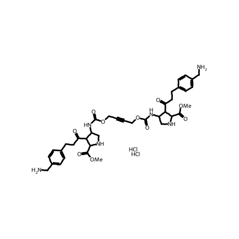 COC(=O)C1NCC(NC(=O)OCC#CCOC(=O)NC2CNC(C(=O)OC)C2C(=O)CCc2ccc(CN)cc2)C1C(=O)CCc1ccc(CN)cc1.Cl.Cl